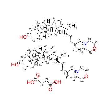 CC(CCC[C@@H](C)[C@H]1CC[C@H]2[C@@H]3CC=C4C[C@@H](O)CC[C@]4(C)[C@H]3CC[C@]12C)CN1CCOCC1.CC(CCC[C@@H](C)[C@H]1CC[C@H]2[C@@H]3CC=C4C[C@@H](O)CC[C@]4(C)[C@H]3CC[C@]12C)CN1CCOCC1.O=C(O)CCC(=O)O